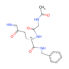 CC(=O)NCC(=O)N[C@@H](CCC(=O)C=N)C(=O)NCc1ccccc1